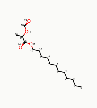 CCCCCCCCCCCCOC(=O)C(C)O[C]=O